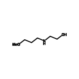 COCCCNCCO